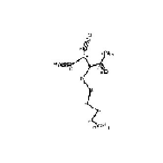 CCCCCCC(C(=O)O)C(C#N)C#N